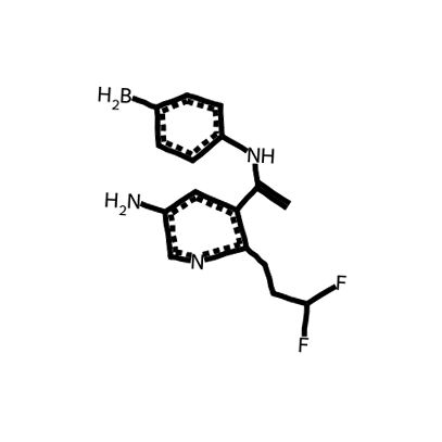 Bc1ccc(NC(=C)c2cc(N)cnc2CCC(F)F)cc1